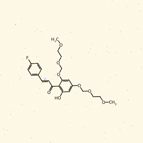 COCCOCOc1cc(O)c(C(=O)/C=C/c2ccc(F)cc2)c(OCOCCOC)c1